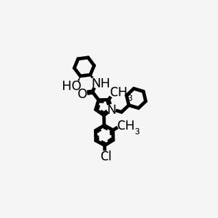 Cc1cc(Cl)ccc1-c1cc(C(=O)N[C@@H]2CCCC[C@H]2O)c(C)n1CC1CCCCC1